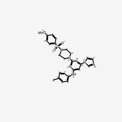 COc1ccc(S(=O)(=O)N2CCN(c3nc(Nc4ccc(C)cc4)cc(-n4ccnc4)n3)CC2)cc1